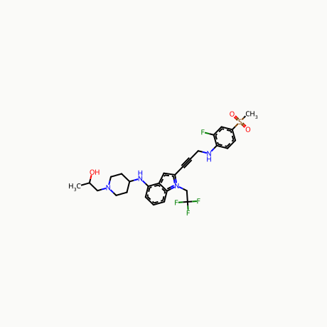 CC(O)CN1CCC(Nc2cccc3c2cc(C#CCNc2ccc(S(C)(=O)=O)cc2F)n3CC(F)(F)F)CC1